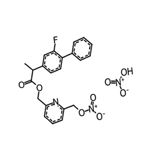 CC(C(=O)OCc1cccc(CO[N+](=O)[O-])n1)c1ccc(-c2ccccc2)c(F)c1.O=[N+]([O-])O